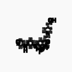 O=C(C=CN1CCC(CCO)CC1)c1ccc(Sc2cccc(NC3CCOCC3)c2)c(C(F)(F)F)c1C(F)(F)F